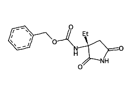 CC[C@@]1(NC(=O)OCc2ccccc2)CC(=O)NC1=O